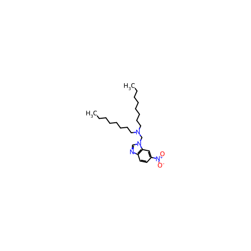 CCCCCCCCN(CCCCCCCC)Cn1cnc2ccc([N+](=O)[O-])cc21